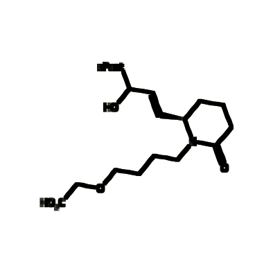 CCCCCC(O)/C=C/[C@H]1CCCC(=O)N1CCCCOCC(=O)O